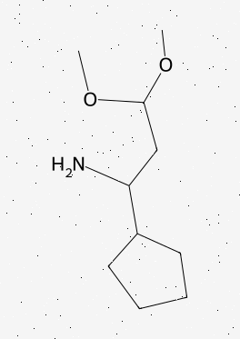 COC(CC(N)C1CCCC1)OC